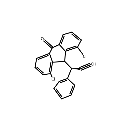 C#C[C@@H](c1ccccc1)C1c2c(Cl)cccc2C(=O)c2cccc(Cl)c21